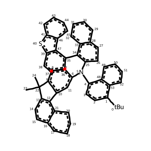 CC(C)(C)c1ccc(N(c2ccc3c(c2)-c2c(ccc4ccccc24)C3(C)C)c2ccc3ccccc3c2-c2cccc3sc4ccccc4c23)c2ccccc12